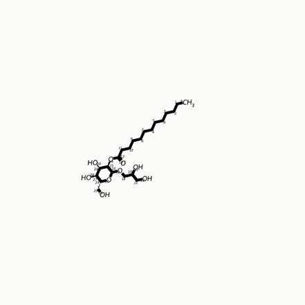 CCCCCCCCCCCCC(=O)O[C@H]1C(OCC(O)CO)O[C@H](CO)[C@@H](O)[C@@H]1O